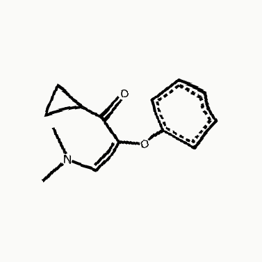 CN(C)C=C(Oc1ccccc1)C(=O)C1CC1